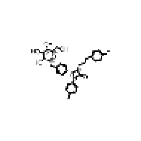 Cc1ccc(N2C(=O)[C@H](CCCc3ccc(F)cc3)[C@H]2c2ccc(C[C@@H]3O[C@H](CO)[C@@H](O)[C@H](O)[C@H]3O)cc2)cc1